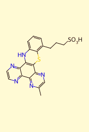 Cc1cnc2c3c(c4nccnc4c2n1)Nc1cccc(CCCS(=O)(=O)O)c1S3